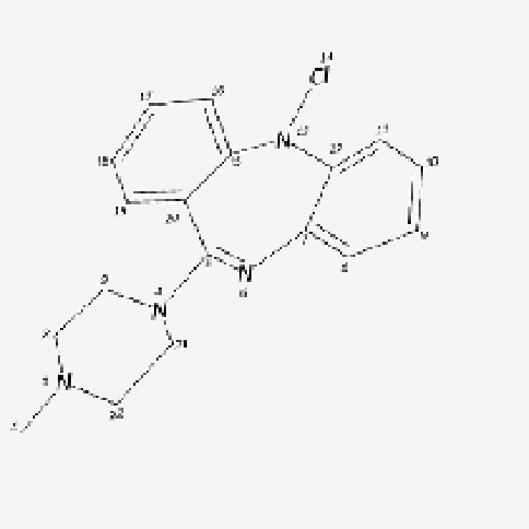 CN1CCN(C2=Nc3ccccc3N(Cl)c3ccccc32)CC1